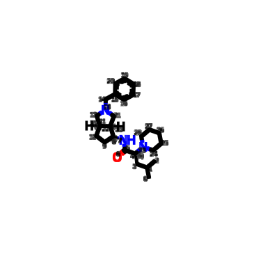 CC(C)C[C@@H](C(=O)N[C@@H]1CC[C@H]2CN(Cc3ccccc3)C[C@H]21)N1CCCCC1